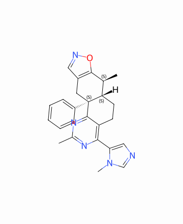 Cc1nc(-c2cncn2C)c2c(n1)[C@@]1(c3ccccc3)Cc3cnoc3[C@@H](C)[C@@H]1CC2